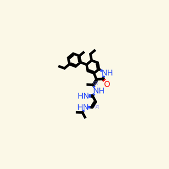 CCc1ccc(C)c(C2C=C3C(=CC2CC)NC(=O)/C3=C(/C)NC(=N)/C=C\NC(C)C)c1